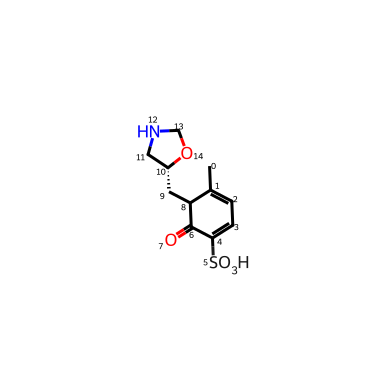 CC1=CC=C(S(=O)(=O)O)C(=O)C1C[C@@H]1CNCO1